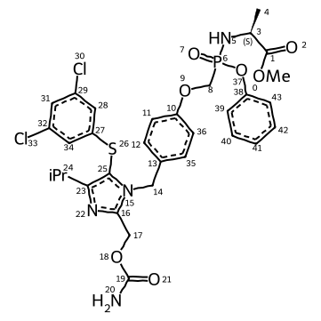 COC(=O)[C@H](C)NP(=O)(COc1ccc(Cn2c(COC(N)=O)nc(C(C)C)c2Sc2cc(Cl)cc(Cl)c2)cc1)Oc1ccccc1